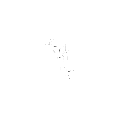 CC(C)(C)OC(=O)NCCNS(=O)(=O)c1ccc([N+](=O)[O-])cc1[N+](=O)[O-]